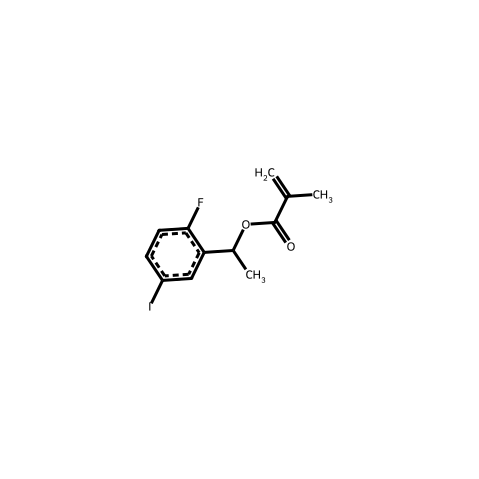 C=C(C)C(=O)OC(C)c1cc(I)ccc1F